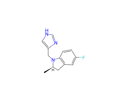 C[C@@H]1Cc2cc(F)ccc2N1Cc1c[nH]cn1